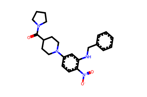 O=C(C1CCN(c2ccc([N+](=O)[O-])c(NCc3ccccc3)c2)CC1)N1CCCC1